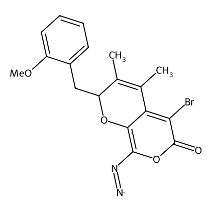 COc1ccccc1CC1Oc2c(N=[N])oc(=O)c(Br)c2C(C)=C1C